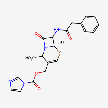 O=C(Cc1ccccc1)NC1C(=O)N2C(C(=O)O)C(COC(=O)n3ccnc3)=CS[C@H]12